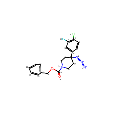 [N-]=[N+]=NC1(c2ccc(Cl)c(F)c2)CCN(C(=O)OCc2ccccc2)CC1